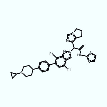 C=C(Nc1nccs1)C(c1ncn2c1CCC2)n1cc2c(Cl)cc(-c3ccc(C4CCN(C5CC5)CC4)cc3)c(CC)c2n1